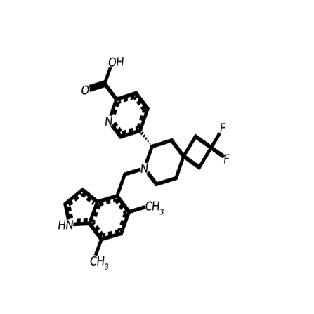 Cc1cc(C)c2[nH]ccc2c1CN1CCC2(C[C@H]1c1ccc(C(=O)O)nc1)CC(F)(F)C2